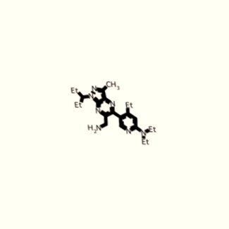 CCc1cc(N(CC)CC)ncc1-c1nc2c(C)nn(C(CC)CC)c2nc1CN